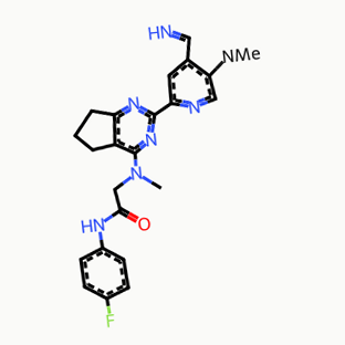 CNc1cnc(-c2nc3c(c(N(C)CC(=O)Nc4ccc(F)cc4)n2)CCC3)cc1C=N